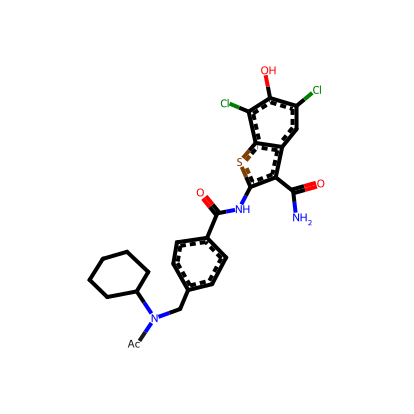 CC(=O)N(Cc1ccc(C(=O)Nc2sc3c(Cl)c(O)c(Cl)cc3c2C(N)=O)cc1)C1CCCCC1